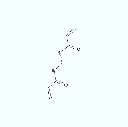 C=CC(=O)[N]C[N]C(=O)C=C